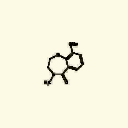 COc1cccc2c1OCCN(C)C2=O